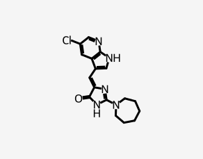 O=C1NC(N2CCCCCC2)=NC1=Cc1c[nH]c2ncc(Cl)cc12